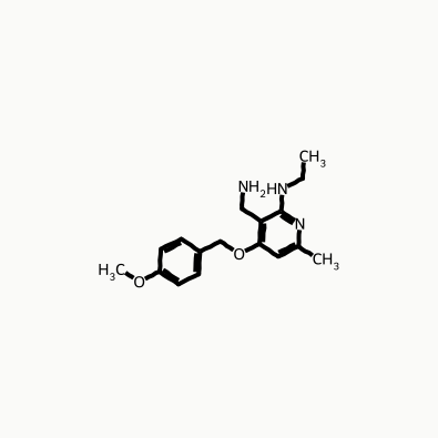 CCNc1nc(C)cc(OCc2ccc(OC)cc2)c1CN